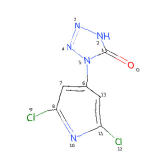 O=c1[nH]nnn1-c1cc(Cl)nc(Cl)c1